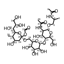 CC(=O)NC(C)CO[C@@H]1OC(CO)[C@@H](O[C@@H]2OC(CO[C@]3(OC=O)C[C@@H](O)[C@@H](C)C([C@H](O)[C@H](O)CO)O3)[C@H](O)[C@H](O)C2O)[C@H](O)C1NC(C)=O